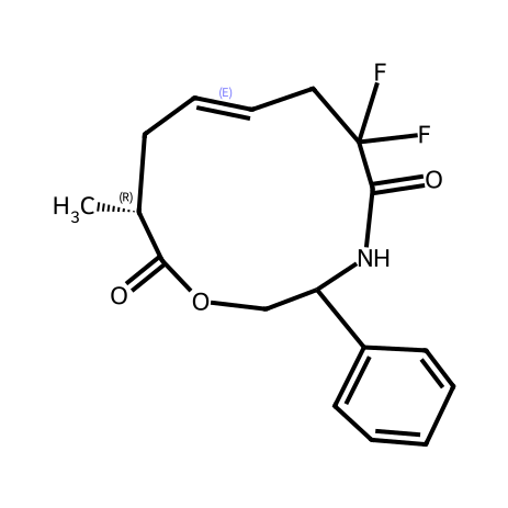 C[C@@H]1C/C=C/CC(F)(F)C(=O)NC(c2ccccc2)COC1=O